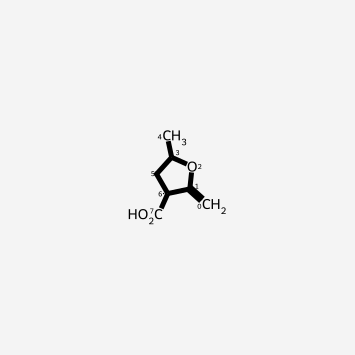 C=C1OC(C)C[C]1C(=O)O